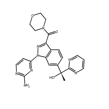 C[C@@](O)(c1ccc2c(C(=O)N3CCOCC3)nn(-c3ccnc(N)n3)c2c1)c1ncccn1